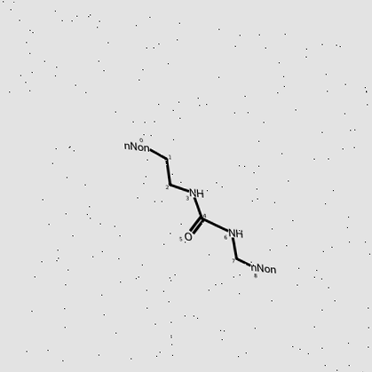 CCCCCCCCCCCNC(=O)NCCCCCCCCCC